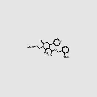 COCCN1C(=O)CC(c2ccncc2)C(C(=O)OCc2ccccc2OC)=C1C